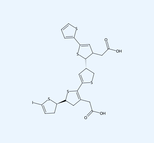 O=C(O)CC1=C(C2=C[C@H](C3SC(c4cccs4)=CC3CC(=O)O)CS2)SC([C@H]2CC=C(I)S2)C1